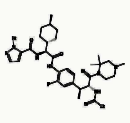 CCC(=O)N[C@@H](C(=O)N1CCN(C)CC1(C)C)[C@@H](C)c1ccc(NC(=O)[C@@H](NC(=O)c2ccnn2CC)[C@H]2CC[C@H](C)CC2)c(F)c1